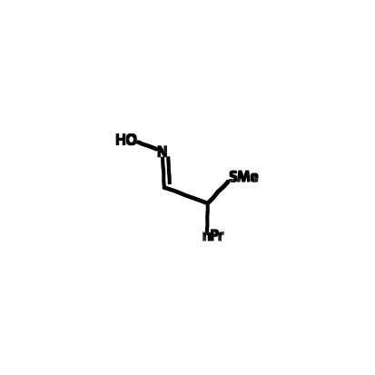 CCCC(C=NO)SC